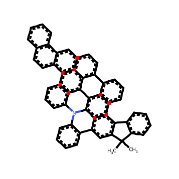 CC1(C)c2ccccc2-c2ccc(-c3ccccc3N(c3cccc(-c4cccc5c4ccc4ccccc45)c3)c3ccccc3-c3cccc4cccc(-c5ccccc5)c34)cc21